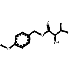 COc1ccc(COC(=O)C(O)C(C)C)cc1